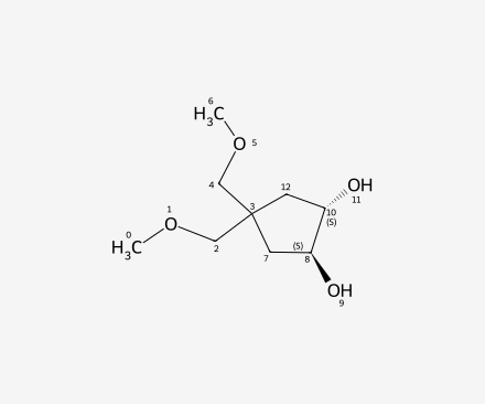 COCC1(COC)C[C@H](O)[C@@H](O)C1